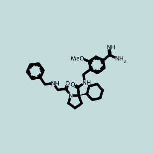 COc1cc(C(=N)N)ccc1CNC(=O)[C@]1(C2CCCCC2)CCCN1C(=O)CNCc1ccccc1